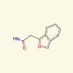 [NH]C(=O)Cc1occ2ccccc12